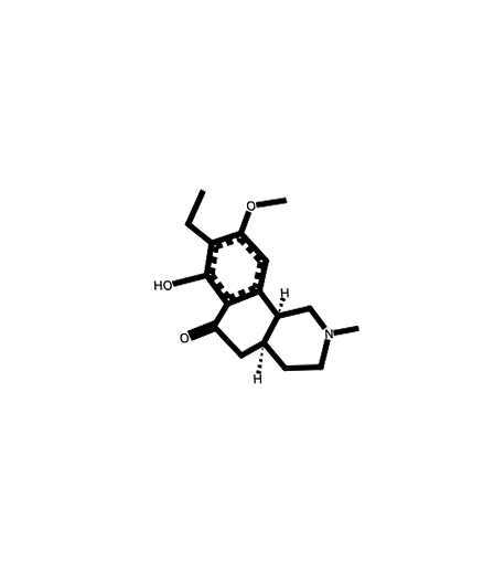 CCc1c(OC)cc2c(c1O)C(=O)C[C@@H]1CCN(C)C[C@H]21